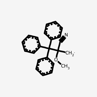 [CH2]C(C#N)(OC)C(c1ccccc1)(c1ccccc1)c1ccccc1